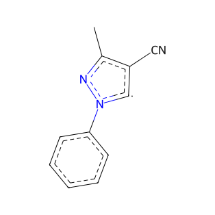 Cc1nn(-c2ccccc2)[c]c1C#N